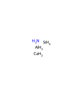 N.[AlH3].[CaH2].[SiH4]